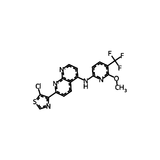 COc1nc(Nc2ccnc3nc(-c4ncsc4Cl)ccc23)ccc1C(F)(F)F